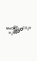 COC[C@@H](C)Oc1nc(N)nc2ccc(-c3ccc(C(=O)O)cc3)nc12